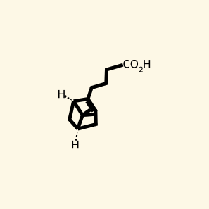 CC1(C)[C@H]2CC=C(CCCC(=O)O)[C@@H]1C2